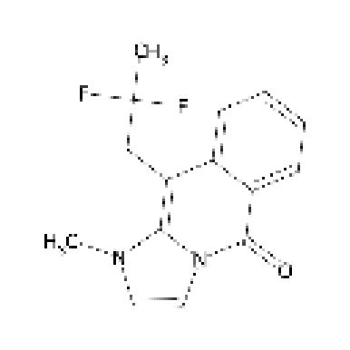 Cn1ccn2c(=O)c3ccccc3c(CC(C)(F)F)c12